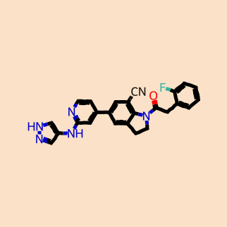 N#Cc1cc(-c2ccnc(Nc3cn[nH]c3)c2)cc2c1N(C(=O)Cc1ccccc1F)CC2